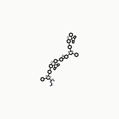 C=N/C(=C\C=C/C)c1cc(-c2ccccc2)nc(-c2ccc(-c3ccc4c(c3)C3(c5cc(-c6ccc7c(c6)sc6cc(-c8cc(-c9ccccc9)nc(-c9ccc(-c%10ccc%11c(c%10)C%10(c%12ccccc%12O%11)c%11ccccc%11-c%11ccccc%11%10)cc9)n8)ccc67)ccc5O4)c4ccccc4-c4ccccc43)cc2)n1